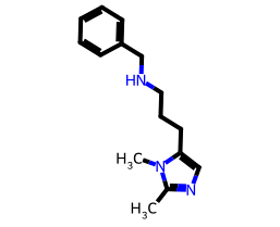 Cc1ncc(CCCNCc2ccccc2)n1C